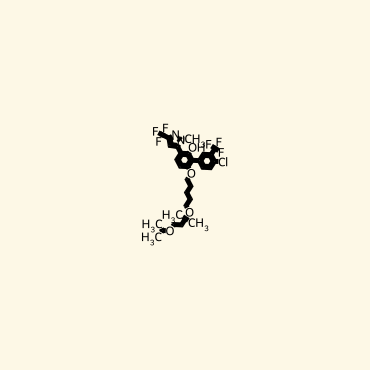 CC(C)OCCC(C)(C)OCCCCCOc1ccc(-c2cc(C(F)(F)F)nn2C)c(O)c1-c1ccc(Cl)c(C(F)(F)F)c1